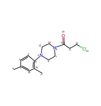 Cc1ccc(N2CCN(C(=O)CCCl)CC2)c(C)c1